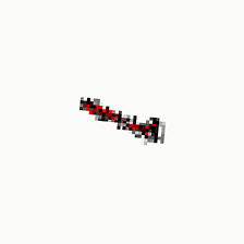 C[C@]12C=CC(=O)C=C1CC[C@@H]1[C@@H]2[C@@H](O)C[C@@]2(C)[C@H]1C[C@H]1O[C@@H](C34CC(Cc5cccc(NC(=O)OCc6ccc(NC(=O)[C@H](CCC(=O)O)NC(=O)CNC(=O)CBr)cc6)c5)(C3)C4)O[C@]12C(=O)CO